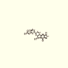 CCOc1cc(-c2cccc(O[C@H](CC)C(=O)O)c2)ccc1-c1nc2[nH]cnc2c(=O)[nH]1